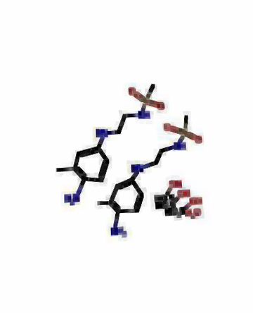 Cc1cc(NCCNS(C)(=O)=O)ccc1N.Cc1cc(NCCNS(C)(=O)=O)ccc1N.O.O=S(=O)(O)O.O=S(=O)(O)O.O=S(=O)(O)O